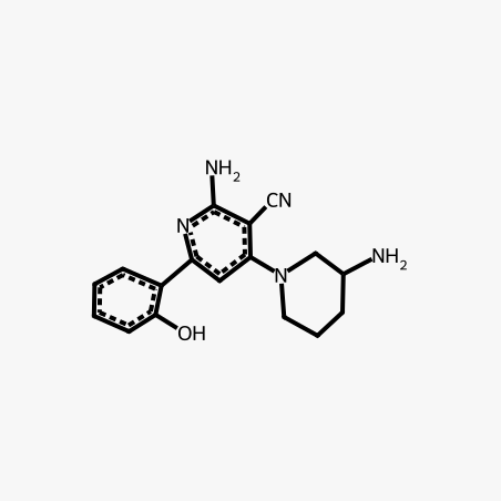 N#Cc1c(N2CCCC(N)C2)cc(-c2ccccc2O)nc1N